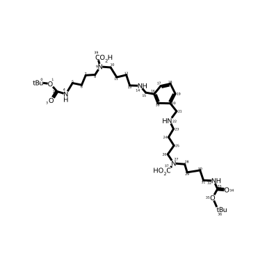 CC(C)(C)OC(=O)NCCCCN(CCCCNCc1cccc(CNCCCCN(CCCCNC(=O)OC(C)(C)C)C(=O)O)c1)C(=O)O